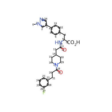 Cn1cc(-c2ccc(CC(NC(=O)CC3CCN(C(=O)CCc4cccc(F)c4)CC3)C(=O)O)cc2)cn1